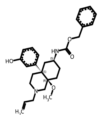 C=CCN1CC[C@@]2(c3cccc(O)c3)C[C@@H](NC(=O)OCc3ccccc3)CC[C@]2(OC)C1